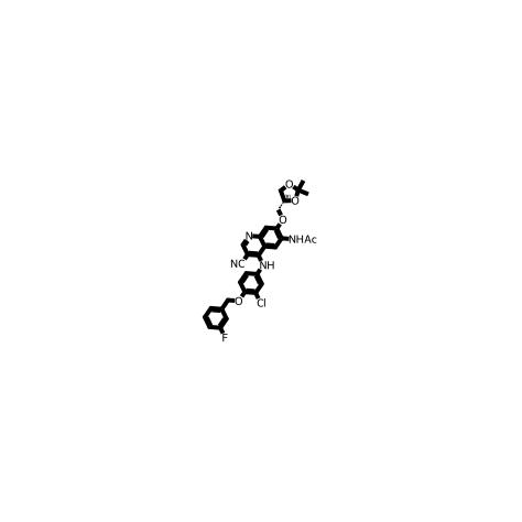 CC(=O)Nc1cc2c(Nc3ccc(OCc4cccc(F)c4)c(Cl)c3)c(C#N)cnc2cc1OC[C@@H]1COC(C)(C)O1